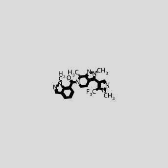 C[C@H]1c2nn(C)c(-c3cnn(C)c3C(F)(F)F)c2CCN1C(=O)c1cccc2cnn(C)c12